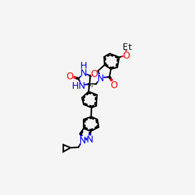 CCOc1ccc2c(c1)C(=O)N(C[C@@]1(c3ccc(-c4ccc5nn(CC6CC6)cc5c4)cc3)NC(=O)NC1=O)C2